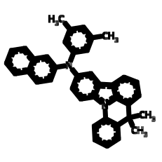 Cc1cc(C)cc(N(c2ccc3ccccc3c2)c2ccc3c(c2)c2cccc4c2n3-c2ccccc2C4(C)C)c1